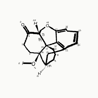 O=C1CC[C@@]2(OI)[C@@H]3CCC[C@@]24c2c(cccc2O[C@@H]14)C3